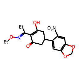 CCON=C(CC)C1=C(O)CC(c2cc3c(cc2[N+](=O)[O-])OCO3)CC1=O